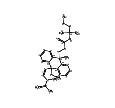 C=C(C)C(C)/C=C\C1(CN)c2ccccc2C(C)(CCC(=O)OC(C)(C)CCO)c2ccccc21